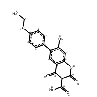 CCOc1ccc(-c2cc3c(cc2O)OC(=O)C(C(=O)O)C3=O)cc1